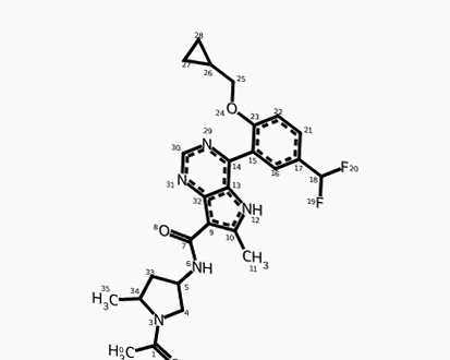 CC(=O)N1CC(NC(=O)c2c(C)[nH]c3c(-c4cc(C(F)F)ccc4OCC4CC4)ncnc23)CC1C